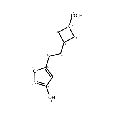 O=C(O)N1CC(CCc2cc(O)no2)C1